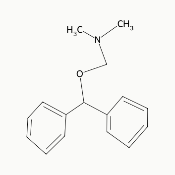 CN(C)COC(c1ccccc1)c1ccccc1